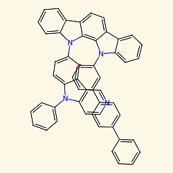 c1ccc(-c2ccc(-c3cccc(-n4c5ccccc5c5ccc6c7ccccc7n(-c7ccc8c(c7)c7cnccc7n8-c7ccccc7)c6c54)c3)cc2)cc1